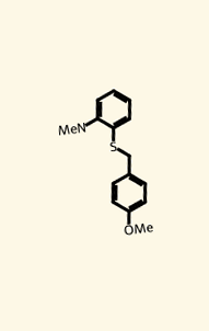 CNc1ccccc1SCc1ccc(OC)cc1